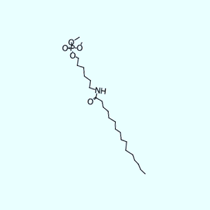 CCCCCCCCCCCCCCCC(=O)NCCCCCCOP(=O)(OC)OC